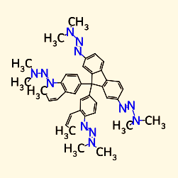 C/C=C\c1cc(C2(c3ccc(/N=N/N(C)C)c(/C=C\C)c3)c3cc(/N=N/N(C)C)ccc3-c3ccc(/N=N/N(C)C)cc32)ccc1/N=N/N(C)C